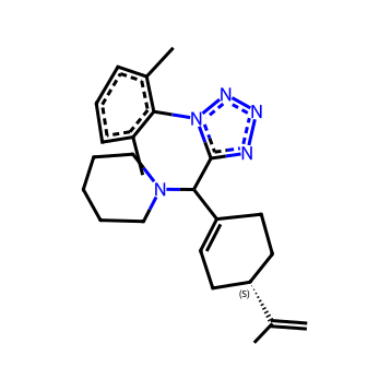 C=C(C)[C@@H]1CC=C(C(c2nnnn2-c2c(C)cccc2C)N2CCCCC2)CC1